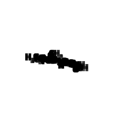 COc1ccc(COc2ccc(Cn3cnc4cc(N5CCC(NC(=O)O)CC5)ccc43)cc2OC)cn1